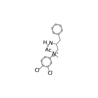 CC(=O)[N@@+](C)(CC(N)Cc1ccccc1)c1ccc(Cl)c(Cl)c1